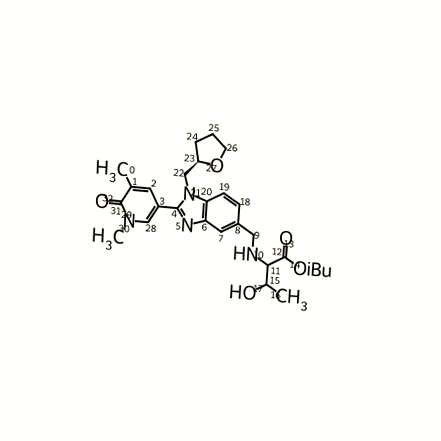 Cc1cc(-c2nc3cc(CNC(C(=O)OCC(C)C)C(C)O)ccc3n2C[C@H]2CCCO2)cn(C)c1=O